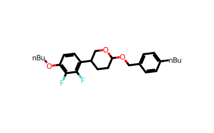 CCCCOc1ccc(C2CCC(OCc3ccc(CCCC)cc3)OC2)c(F)c1F